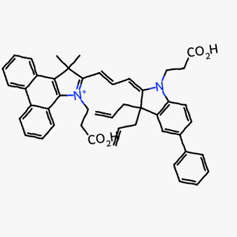 C=CCC1(CC=C)/C(=C\C=C\C2=[N+](CCC(=O)O)c3c(c4ccccc4c4ccccc34)C2(C)C)N(CCC(=O)O)c2ccc(-c3ccccc3)cc21